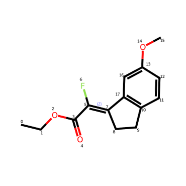 CCOC(=O)/C(F)=C1\CCc2ccc(OC)cc21